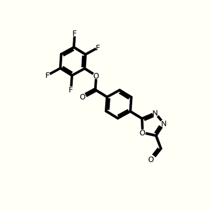 O=Cc1nnc(-c2ccc(C(=O)Oc3c(F)c(F)cc(F)c3F)cc2)o1